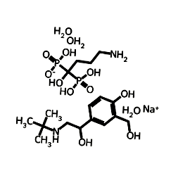 CC(C)(C)NCC(O)c1ccc(O)c(CO)c1.NCCCC(O)(P(=O)([O-])O)P(=O)(O)O.O.O.O.[Na+]